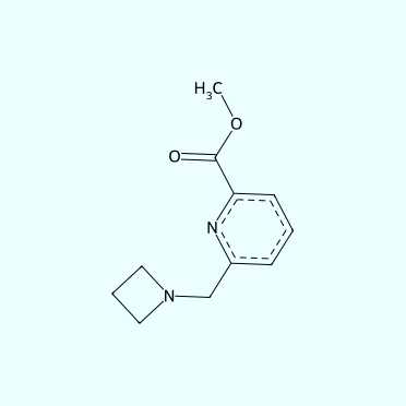 COC(=O)c1cccc(CN2CCC2)n1